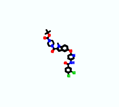 Cn1c(C(=O)N2CCN(C(=O)OC(C)(C)C)CC2)cc2cc(Oc3ccc(NC(=O)c4ccc(Cl)c(Cl)c4)cn3)ccc21